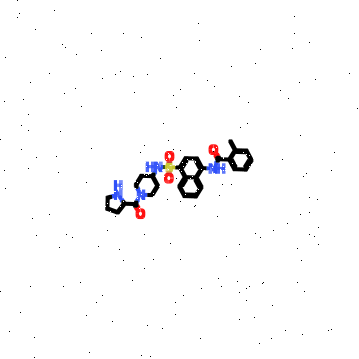 Cc1ccccc1C(=O)Nc1ccc(S(=O)(=O)NC2CCN(C(=O)C3CCCN3)CC2)c2ccccc12